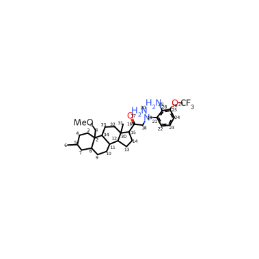 COCC12CCC(C)CC1CCC1C3CCC(C(=O)CN(N)c4cccc(OC(F)(F)F)c4N)C3(C)CCC12